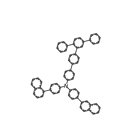 c1ccc(-c2ccc(-c3ccccc3)c(-c3ccc(-c4ccc(N(c5ccc(-c6ccc7ccccc7c6)cc5)c5ccc(-c6cccc7ccccc67)cc5)cc4)cc3)c2)cc1